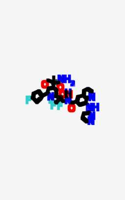 C[C@]1(C(N)=O)COc2c1cc([C@@](O)(CNC(=O)c1cc(Nc3cccnn3)c3ncccc3c1)C(F)(F)F)nc2-c1ccc(F)cc1